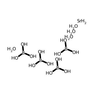 O.O.O.O.OB(O)O.OB(O)O.OB(O)O.OB(O)O.[SrH2]